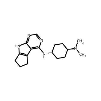 CN(C)[C@H]1CC[C@H](Nc2ncnc3[nH]c4c(c23)CCC4)CC1